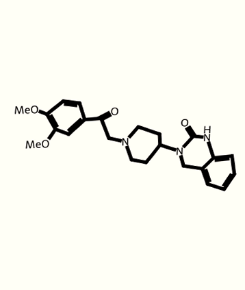 COc1ccc(C(=O)CN2CCC(N3Cc4ccccc4NC3=O)CC2)cc1OC